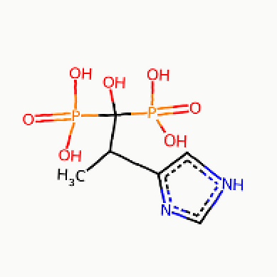 CC(c1c[nH]cn1)C(O)(P(=O)(O)O)P(=O)(O)O